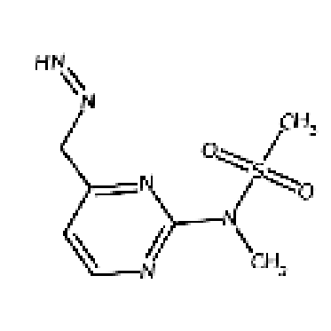 CN(c1nccc(CN=N)n1)S(C)(=O)=O